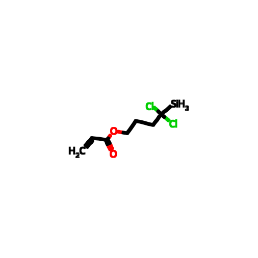 C=CC(=O)OCCCC([SiH3])(Cl)Cl